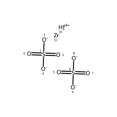 O=S(=O)([O-])[O-].O=S(=O)([O-])[O-].[Hf+4].[Zr]